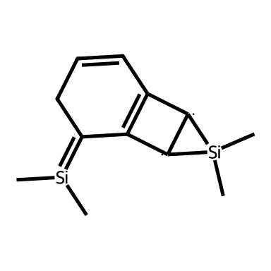 C[Si](C)=C1CC=CC2=C1[C]1[C]2[Si]1(C)C